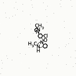 Cc1ccn(-c2ccc(C(=O)N3C[C@@H](C)NCc4ccccc43)c(Cl)c2)n1